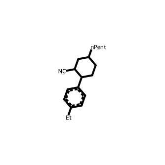 CCCCCC1CCC(c2ccc(CC)cc2)C(C#N)C1